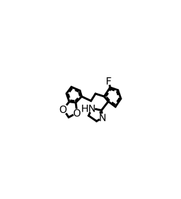 Fc1cccc(C2=NCCN2)c1CCc1cccc2c1OCO2